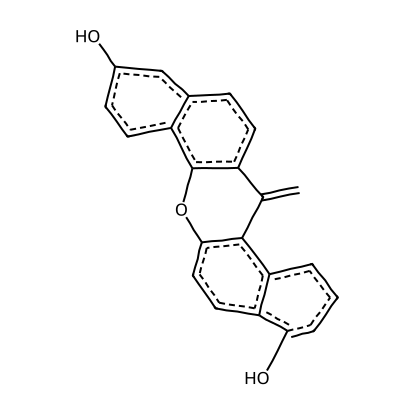 C=C1c2ccc3cc(O)ccc3c2Oc2ccc3c(O)cccc3c21